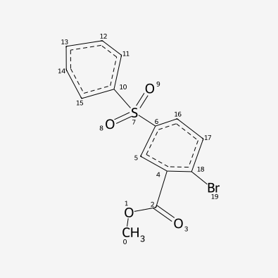 COC(=O)c1cc(S(=O)(=O)c2ccccc2)ccc1Br